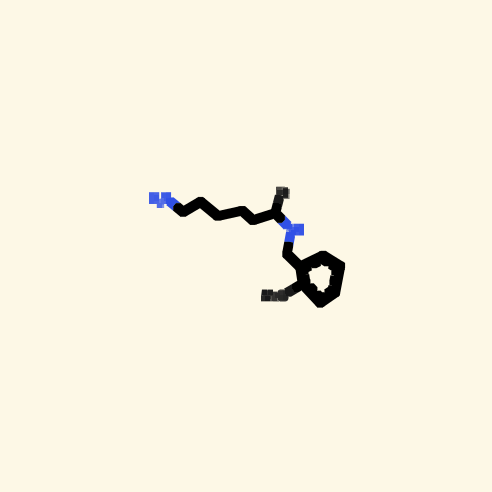 CCC(CCCCCN)NCc1ccccc1OC